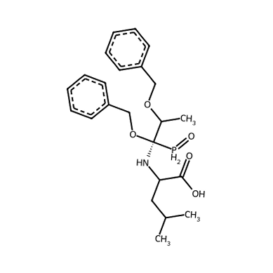 CC(C)CC(N[C@@](OCc1ccccc1)([PH2]=O)C(C)OCc1ccccc1)C(=O)O